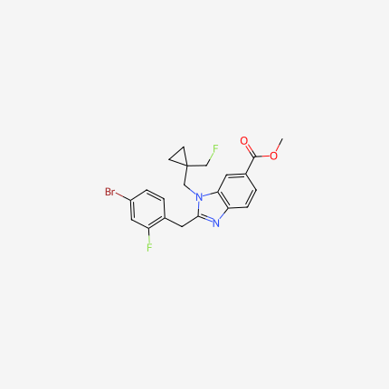 COC(=O)c1ccc2nc(Cc3ccc(Br)cc3F)n(CC3(CF)CC3)c2c1